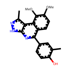 COc1ccc2c(-c3ccc(O)c(C)c3)nc3[nH]nc(C)c3c2c1OC